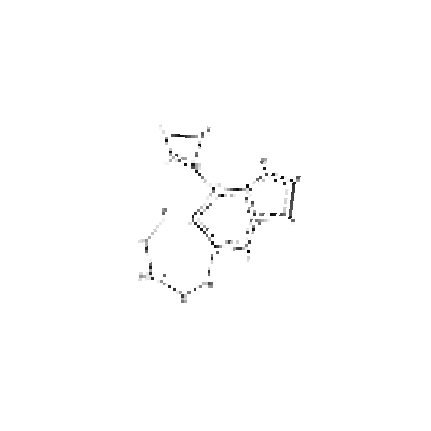 C1=CC(c2c3c(nc4ccnn24)CCNCC3)=C1